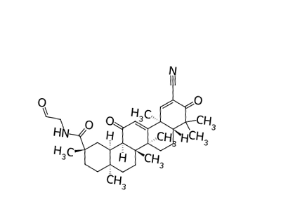 CC1(C)C(=O)C(C#N)=C[C@]2(C)C3=CC(=O)[C@@H]4[C@@H]5C[C@@](C)(C(=O)NCC=O)CC[C@]5(C)CC[C@@]4(C)[C@]3(C)CC[C@@H]12